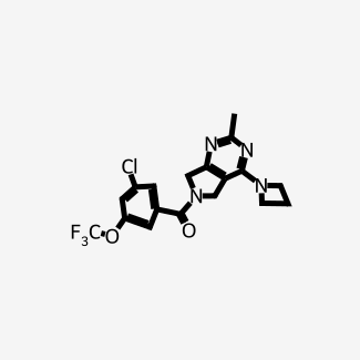 Cc1nc2c(c(N3CCC3)n1)CN(C(=O)c1cc(Cl)cc(OC(F)(F)F)c1)C2